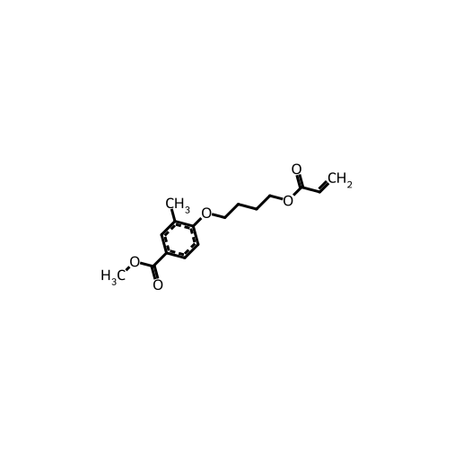 C=CC(=O)OCCCCOc1ccc(C(=O)OC)cc1C